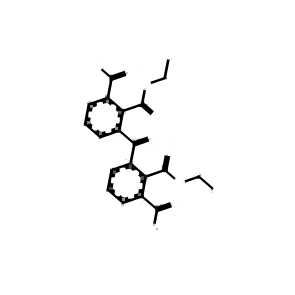 CCOC(=O)c1c(C(=O)O)cccc1C(=O)c1cccc(C(=O)O)c1C(=O)OCC